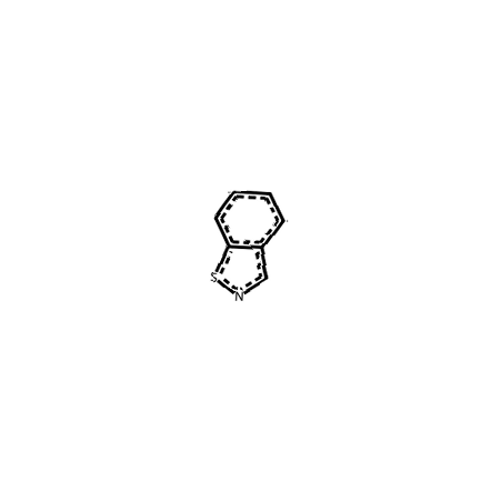 [c]1c[c]c2cnsc2c1